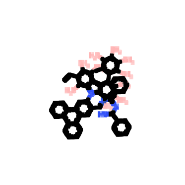 Bc1c(B)c(B)c(-c2c(B)c(B)c(B)c3c2c2c(B)c(B)c(C=C)c(B)c2n3-c2cc3c4ccccc4c4ccccc4c3cc2/C=N/C(=N\C(=N)c2ccccc2)c2ccccc2)c(C)c1B